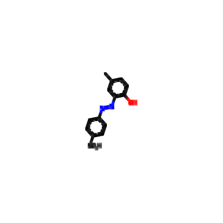 Cc1ccc(O)c(/N=N/c2ccc(S(=O)(=O)O)cc2)c1